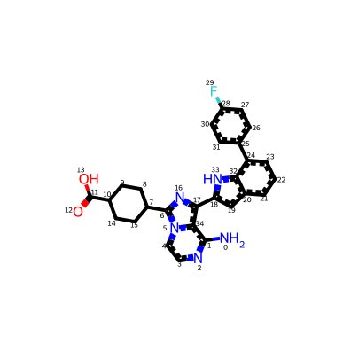 Nc1nccn2c(C3CCC(C(=O)O)CC3)nc(-c3cc4cccc(-c5ccc(F)cc5)c4[nH]3)c12